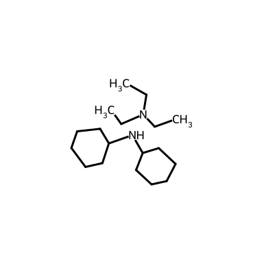 C1CCC(NC2CCCCC2)CC1.CCN(CC)CC